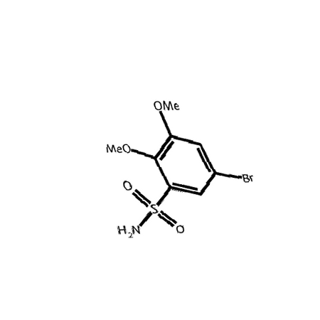 COc1cc(Br)cc(S(N)(=O)=O)c1OC